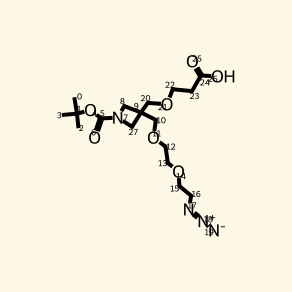 CC(C)(C)OC(=O)N1CC(COCCOCCN=[N+]=[N-])(COCCC(=O)O)C1